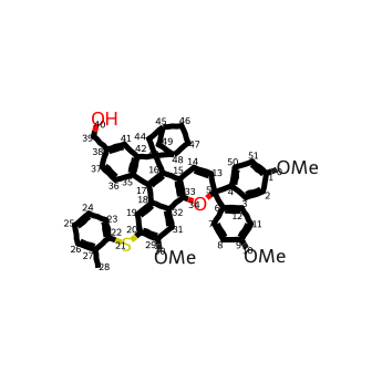 COc1ccc(C2(c3ccc(OC)cc3)C=Cc3c4c(c5cc(Sc6ccccc6C)c(OC)cc5c3O2)-c2ccc(CO)cc2C42CC3CCC2C3)cc1